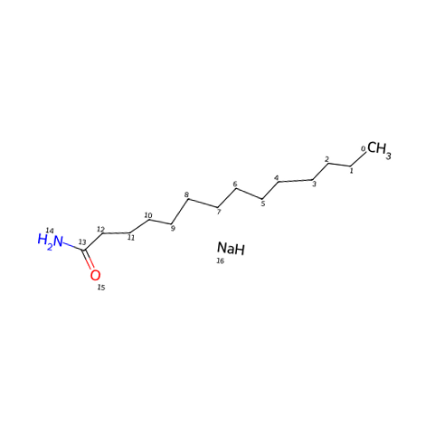 CCCCCCCCCCCCCC(N)=O.[NaH]